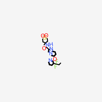 CCC(F)(F)c1cccnc1Oc1ccc2nc(C(=O)NC3(C)CCS(=O)(=O)CC3)cn2c1